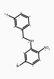 O=[N+]([O-])c1ccc(Br)cc1NCc1cccc(F)c1